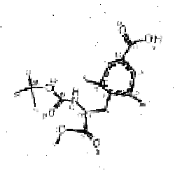 COC(=O)[C@H](Cc1c(C)cc(C(=O)O)cc1C)NC(=O)OC(C)(C)C